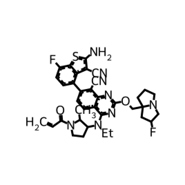 C=CC(=O)N1CCC(N(CC)c2nc(OCC34CCCN3CC(F)C4)nc3c(C#N)c(-c4ccc(F)c5sc(N)c(C#N)c45)ccc23)C1C